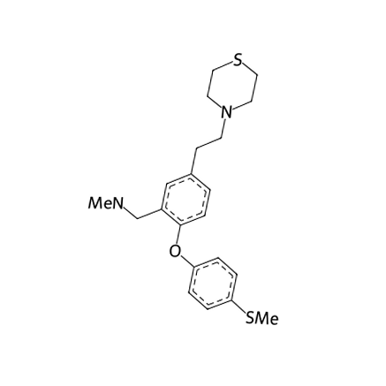 CNCc1cc(CCN2CCSCC2)ccc1Oc1ccc(SC)cc1